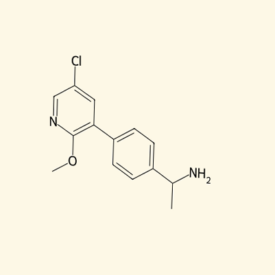 COc1ncc(Cl)cc1-c1ccc(C(C)N)cc1